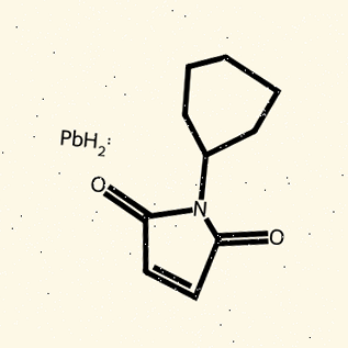 O=C1C=CC(=O)N1C1CCCCC1.[PbH2]